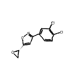 Clc1ccc(-c2cc([C@@H]3CO3)on2)cc1Cl